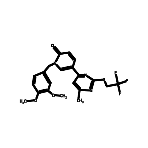 COc1ccc(Cn2cc(-c3cc(C)nc(SCC(F)(F)F)n3)ccc2=O)cc1OC